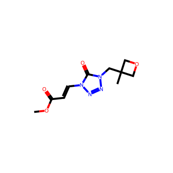 COC(=O)/C=C/n1nnn(CC2(C)COC2)c1=O